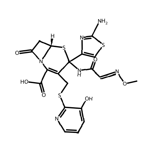 CON=CC(=O)NC1(c2csc(N)n2)S[C@H]2CC(=O)N2C(C(=O)O)=C1CSc1ncccc1O